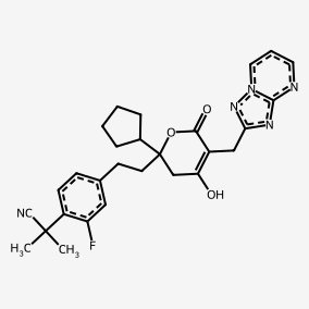 CC(C)(C#N)c1ccc(CCC2(C3CCCC3)CC(O)=C(Cc3nc4ncccn4n3)C(=O)O2)cc1F